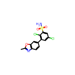 Cc1nc2ccc(-c3cc(Cl)cc(S(N)(=O)=O)c3Cl)cc2o1